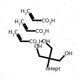 C=CC(=O)O.C=CC(=O)O.C=CC(=O)O.CCCCCCCC(CO)(CO)CO